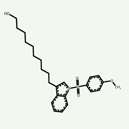 COc1ccc(S(=O)(=O)n2cc(CCCCCCCCCCO)c3ccccc32)cc1